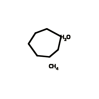 C.C1CCCCCC1.O